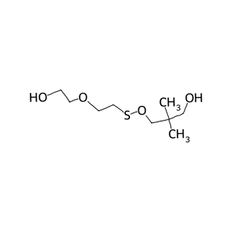 CC(C)(CO)COSCCOCCO